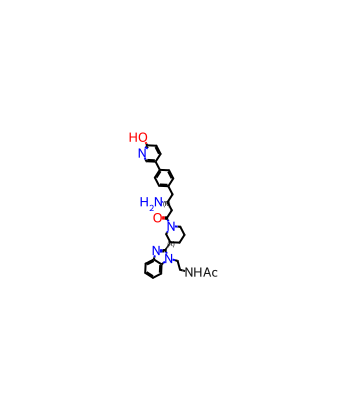 CC(=O)NCCn1c([C@@H]2CCCN(C(=O)C[C@H](N)Cc3ccc(-c4ccc(O)nc4)cc3)C2)nc2ccccc21